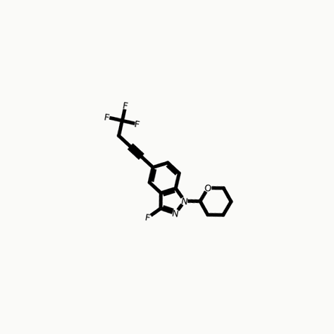 Fc1nn(C2CCCCO2)c2ccc(C#CCC(F)(F)F)cc12